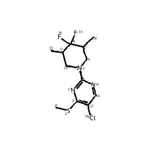 CSc1nc(N2CC(C)C(F)(F)C(C)C2)ncc1Cl